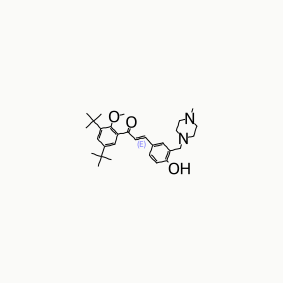 COc1c(C(=O)/C=C/c2ccc(O)c(CN3CCN(C)CC3)c2)cc(C(C)(C)C)cc1C(C)(C)C